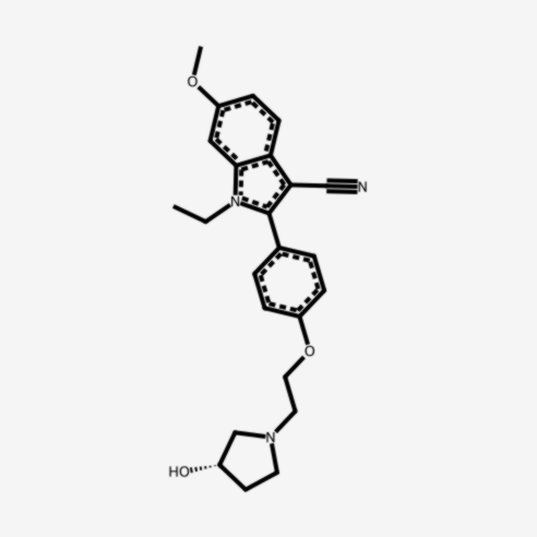 CCn1c(-c2ccc(OCCN3CC[C@H](O)C3)cc2)c(C#N)c2ccc(OC)cc21